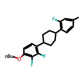 CCCCOc1ccc(C2CCC(c3ccc(C)cc3F)CC2)c(F)c1F